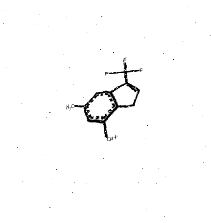 Cc1cc(O)c2c(c1)C(C(F)(F)F)=CC2